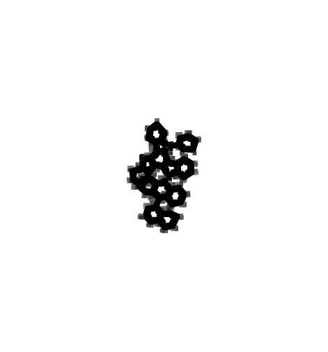 c1ccc(-n2c3ccccc3c3c4sc5ccccc5c4c4c(c5ccccc5n4-c4c5ccccc5c(-c5cccc6ccccc56)c5ccccc45)c32)cc1